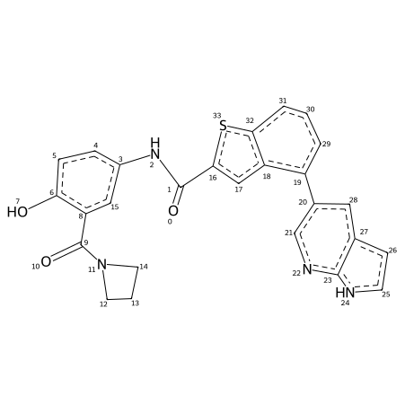 O=C(Nc1ccc(O)c(C(=O)N2CCC2)c1)c1cc2c(-c3cnc4[nH]ccc4c3)cccc2s1